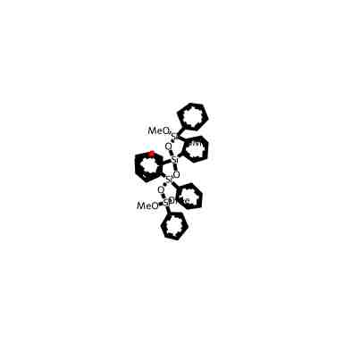 CO[Si](OC)(O[Si](O[Si](O[Si](OC)(OC)c1ccccc1)(c1ccccc1)c1ccccc1)(c1ccccc1)c1ccccc1)c1ccccc1